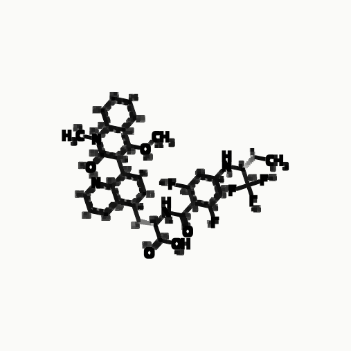 CC[C@@H](Nc1cc(F)c(C(=O)N[C@@H](Cc2ccc(-c3c(OC)c4ccccc4n(C)c3=O)c3ncccc23)C(=O)O)c(F)c1)C(F)(F)F